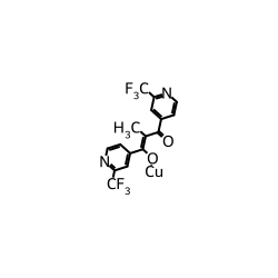 C/C(C(=O)c1ccnc(C(F)(F)F)c1)=C(/[O][Cu])c1ccnc(C(F)(F)F)c1